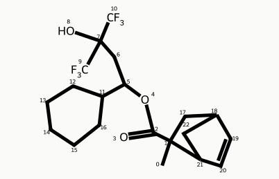 CC1(C(=O)OC(CC(O)(C(F)(F)F)C(F)(F)F)C2CCCCC2)CC2C=CC1C2